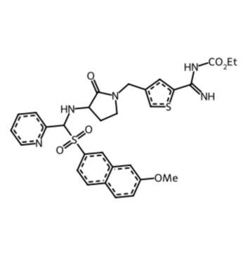 CCOC(=O)NC(=N)c1cc(CN2CCC(NC(c3ccccn3)S(=O)(=O)c3ccc4ccc(OC)cc4c3)C2=O)cs1